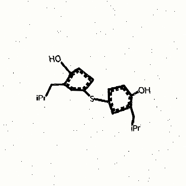 CC(C)Cc1cc(Sc2ccc(O)c(CC(C)C)c2)ccc1O